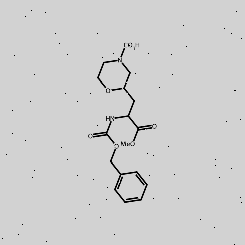 COC(=O)C(CC1CN(C(=O)O)CCO1)NC(=O)OCc1ccccc1